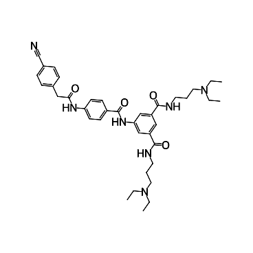 CCN(CC)CCCNC(=O)c1cc(NC(=O)c2ccc(NC(=O)Cc3ccc(C#N)cc3)cc2)cc(C(=O)NCCCN(CC)CC)c1